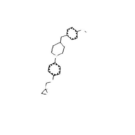 C[C@H]1O[C@@H]1COc1ccc(N2CCC(Cc3ccc(OC(F)(F)F)cc3)CC2)cc1